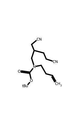 C=CCCN(CC(CC#N)CCC#N)C(=O)OC(C)(C)C